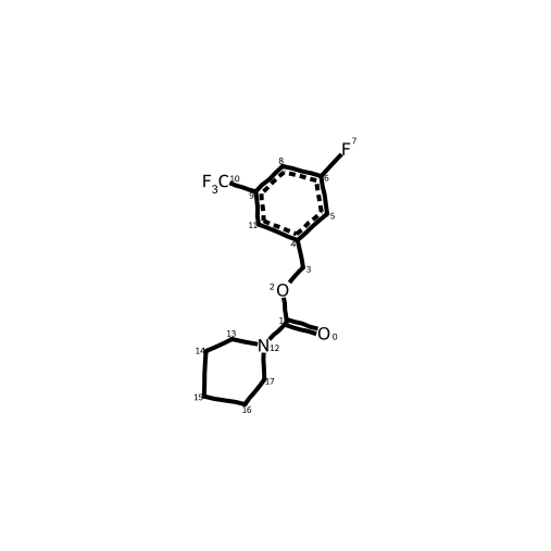 O=C(OCc1cc(F)cc(C(F)(F)F)c1)N1CCCCC1